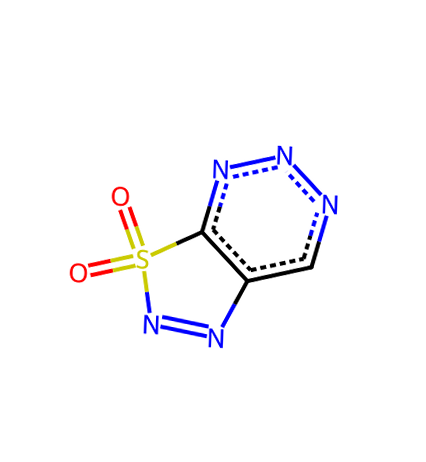 O=S1(=O)N=Nc2cnnnc21